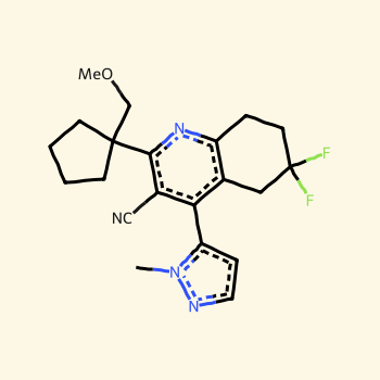 COCC1(c2nc3c(c(-c4ccnn4C)c2C#N)CC(F)(F)CC3)CCCC1